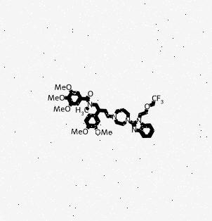 COc1ccc(C(CCN2CCCN(c3nc4ccccc4n3CCOCC(F)(F)F)CC2)CN(C)C(=O)c2cc(OC)c(OC)c(OC)c2)cc1OC